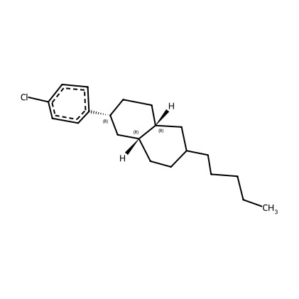 CCCCCC1CC[C@@H]2C[C@H](c3ccc(Cl)cc3)CC[C@@H]2C1